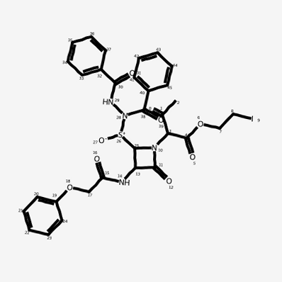 C=C(C)C(C(=O)OCCI)N1C(=O)C(NC(=O)COc2ccccc2)C1[S+]([O-])N(NC(=O)c1ccccc1)C(=O)c1ccccc1